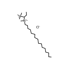 CCCCCCCCCCCCCCCC[N+](C)(C)C(CC)[Si](C)(C)C.[Cl-]